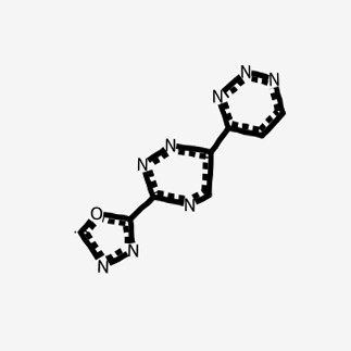 [c]1nnc(-c2ncc(-c3ccnnn3)nn2)o1